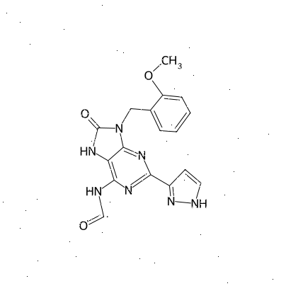 COc1ccccc1Cn1c(=O)[nH]c2c(N[C]=O)nc(-c3cc[nH]n3)nc21